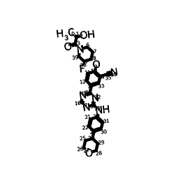 CC(O)C(=O)N1CC[C@H](Oc2ccc(-c3ncnc(Nc4ccc(C5CCOCC5)cc4)n3)cc2C#N)[C@H](F)C1